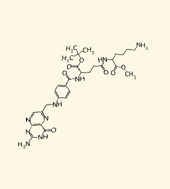 COC(=O)C(CCCCN)NC(=O)CCC(NC(=O)c1ccc(NCc2cnc3nc(N)[nH]c(=O)c3n2)cc1)C(=O)OC(C)(C)C